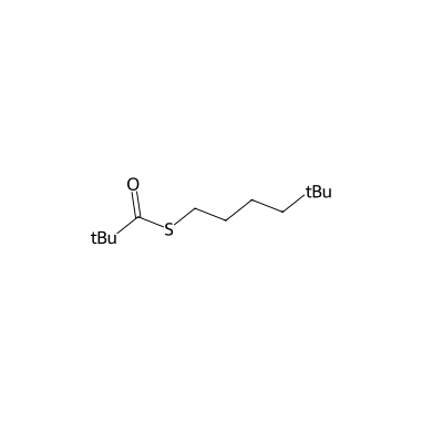 CC(C)(C)CCCCSC(=O)C(C)(C)C